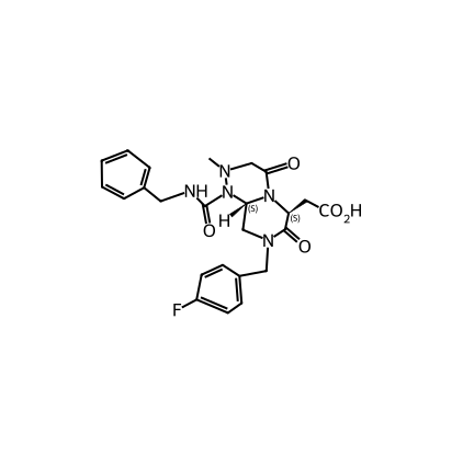 CN1CC(=O)N2[C@@H](CC(=O)O)C(=O)N(Cc3ccc(F)cc3)C[C@@H]2N1C(=O)NCc1ccccc1